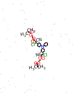 C=C(C)C(=O)OCCOC(=O)/C(C#N)=C(\Cl)c1ccc(N(c2ccccc2)c2ccc(/C(Cl)=C(\C#N)C(=O)OCCOC(=O)C(=C)C)cc2)cc1